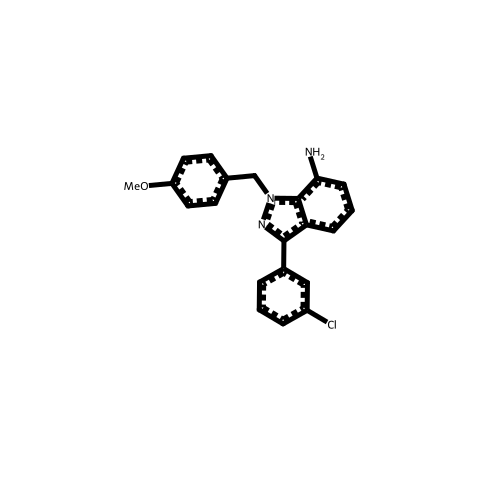 COc1ccc(Cn2nc(-c3cccc(Cl)c3)c3cccc(N)c32)cc1